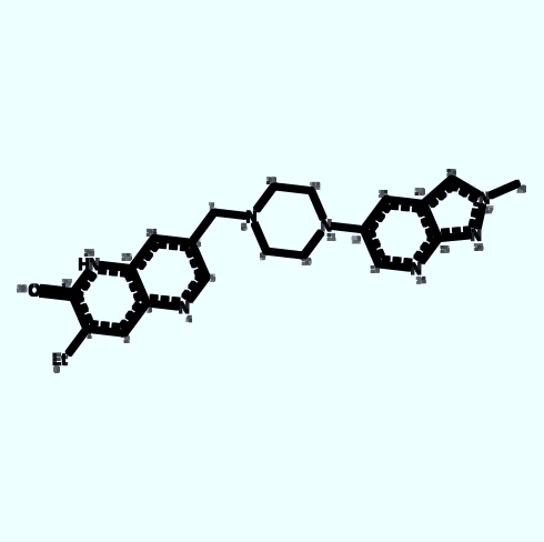 CCc1cc2ncc(CN3CCN(c4cnc5nn(C)cc5c4)CC3)cc2[nH]c1=O